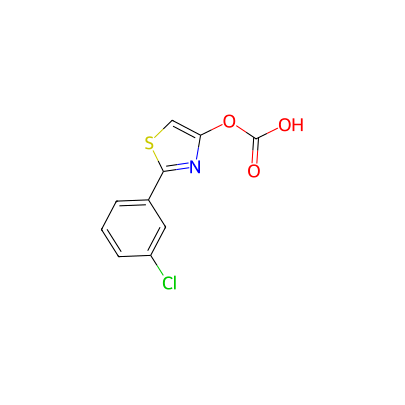 O=C(O)Oc1csc(-c2cccc(Cl)c2)n1